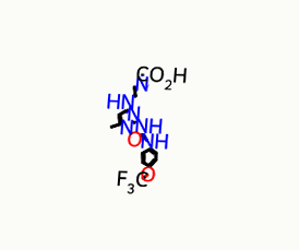 Cc1cc(NCCN(C)C(=O)O)nc(NC(=O)Nc2ccc(OC(F)(F)F)cc2)n1